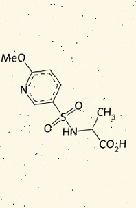 COc1ccc(S(=O)(=O)NC(C)C(=O)O)cn1